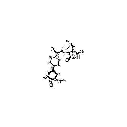 COC[C@]1(C[C@H](C)C(=O)N2CCC(c3cc(F)c(Cl)c(OC)c3)CC2)NC(=O)NC1=O